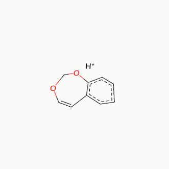 C1=Cc2ccccc2OCO1.[H+]